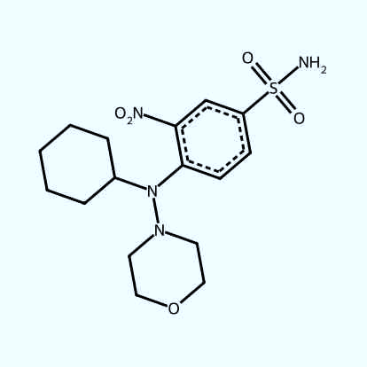 NS(=O)(=O)c1ccc(N(C2CCCCC2)N2CCOCC2)c([N+](=O)[O-])c1